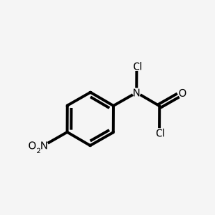 O=C(Cl)N(Cl)c1ccc([N+](=O)[O-])cc1